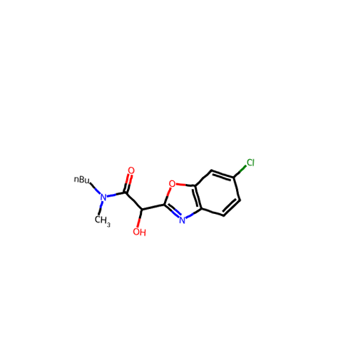 CCCCN(C)C(=O)C(O)c1nc2ccc(Cl)cc2o1